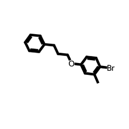 Cc1cc(OCCCc2ccccc2)ccc1Br